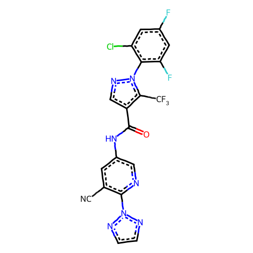 N#Cc1cc(NC(=O)c2cnn(-c3c(F)cc(F)cc3Cl)c2C(F)(F)F)cnc1-n1nccn1